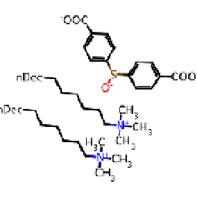 CCCCCCCCCCCCCCCC[N+](C)(C)C.CCCCCCCCCCCCCCCC[N+](C)(C)C.O=C([O-])c1ccc([S+]([O-])c2ccc(C(=O)[O-])cc2)cc1